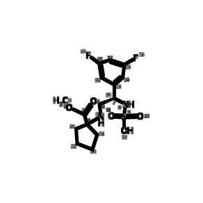 COC(=O)C1(NC[C@H](NS(=O)(=O)O)c2cc(F)cc(F)c2)CCCC1